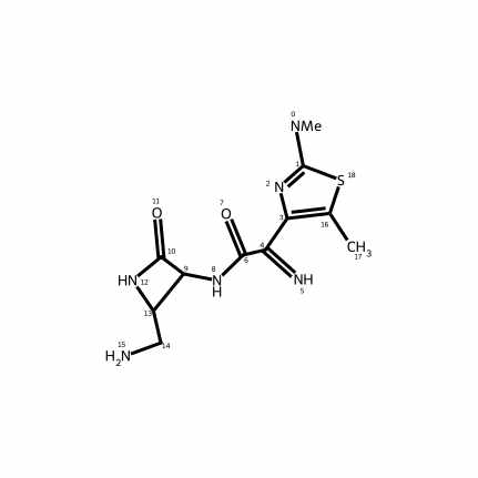 CNc1nc(C(=N)C(=O)NC2C(=O)NC2CN)c(C)s1